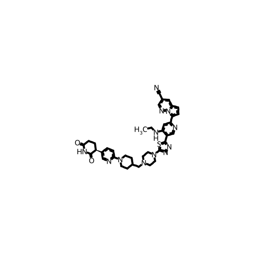 CCNc1cc(-c2ccc3cc(C#N)cnn23)ncc1-c1nnc(N2CCN(CC3CCN(c4ccc([C@@H]5CCC(=O)NC5=O)cn4)CC3)CC2)s1